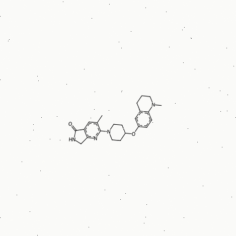 Cc1cc2c(nc1N1CCC(Oc3ccc4c(c3)CCCN4C)CC1)CNC2=O